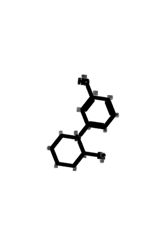 CCC1CCCCN1c1cccc(O)c1